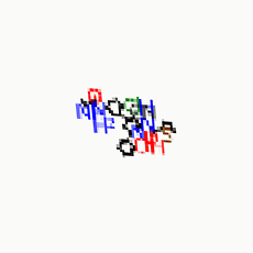 CC(N)C(=O)Nc1ccc(Cl)c(-c2cc(-c3ccccc3O)nc(NC(=O)c3cccs3)c2C#N)c1